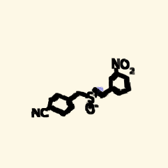 N#Cc1ccc(C[S+]([O-])/C=C/c2cccc([N+](=O)[O-])c2)cc1